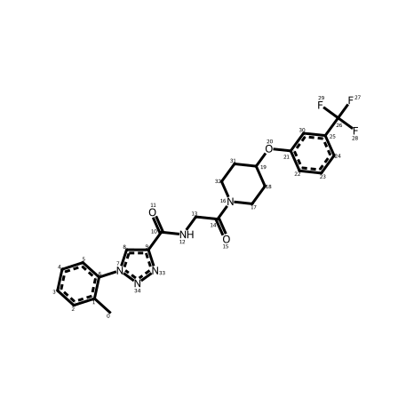 Cc1ccccc1-n1cc(C(=O)NCC(=O)N2CCC(Oc3cccc(C(F)(F)F)c3)CC2)nn1